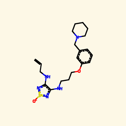 C=CCNc1n[s+]([O-])nc1NCCCOc1cccc(CN2CCCCC2)c1